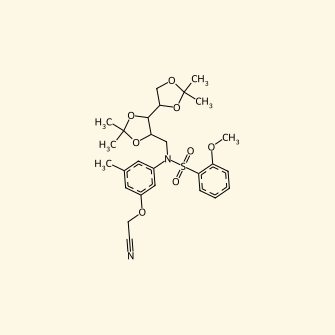 COc1ccccc1S(=O)(=O)N(CC1OC(C)(C)OC1C1COC(C)(C)O1)c1cc(C)cc(OCC#N)c1